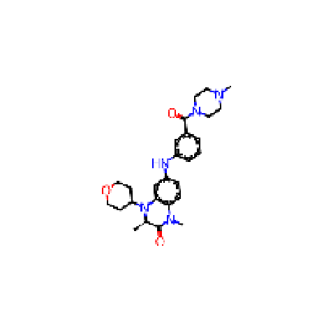 C[C@@H]1C(=O)N(C)c2ccc(Nc3cccc(C(=O)N4CCN(C)CC4)c3)cc2N1C1CCOCC1